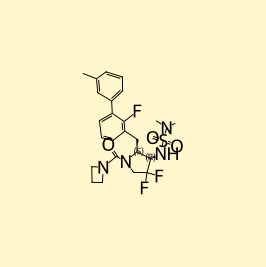 Cc1cccc(-c2cccc(C[C@H]3[C@@H](NS(=O)(=O)N(C)C)C(F)(F)CN3C(=O)N3CCC3)c2F)c1